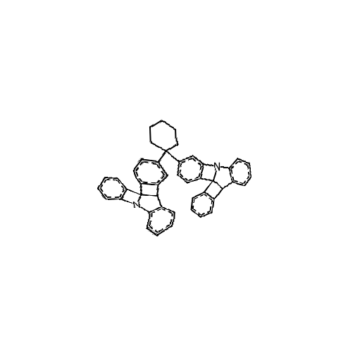 c1ccc2c(c1)C1c3cc(C4(c5ccc6c(c5)N5c7ccccc7C7c8ccccc8C675)CCCCC4)ccc3C13c1ccccc1N23